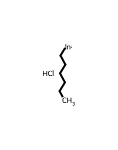 CCCCC[CH2][In].Cl